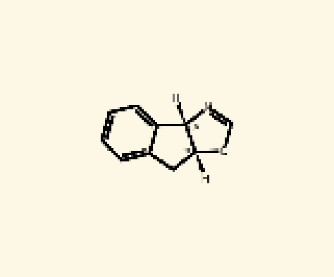 C1=N[C@H]2c3ccccc3C[C@H]2O1